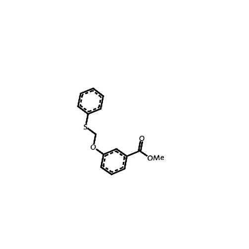 COC(=O)c1cccc(OCSc2ccccc2)c1